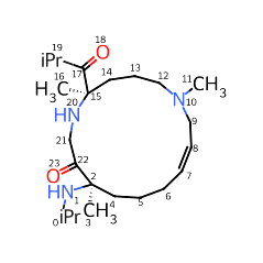 CC(C)N[C@]1(C)CCCC=CCN(C)CCC[C@](C)(C(=O)C(C)C)NCC1=O